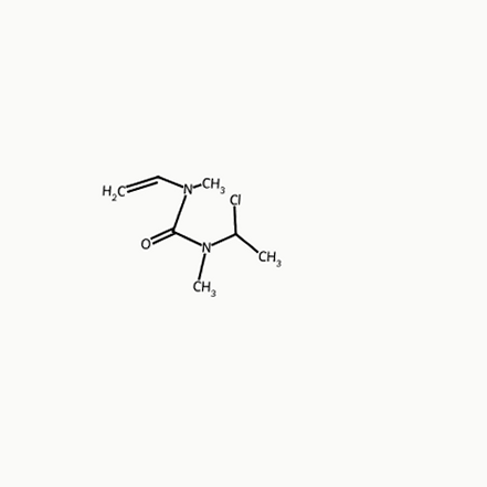 C=CN(C)C(=O)N(C)C(C)Cl